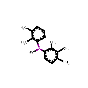 CCCP(c1cccc(C)c1C)c1ccc(C)c(C)c1C